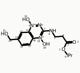 CC(C)OC(=O)CCNc1n[n+](O)c2cc(CO)ccc2[n+]1O